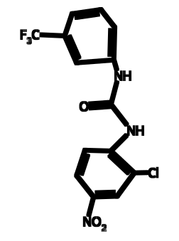 O=C(Nc1cccc(C(F)(F)F)c1)Nc1ccc([N+](=O)[O-])cc1Cl